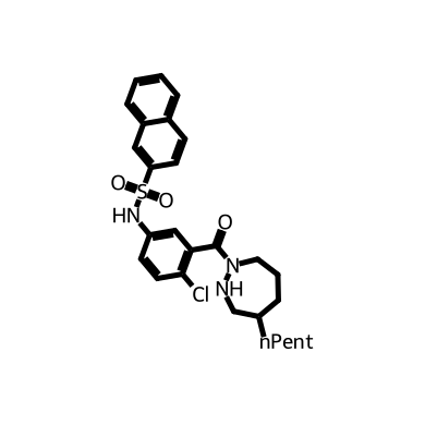 CCCCCC1CCCN(C(=O)c2cc(NS(=O)(=O)c3ccc4ccccc4c3)ccc2Cl)NC1